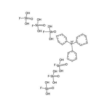 [O]=[Sb]([OH])([OH])[F].[O]=[Sb]([OH])([OH])[F].[O]=[Sb]([OH])([OH])[F].[O]=[Sb]([OH])([OH])[F].[O]=[Sb]([OH])([OH])[F].[O]=[Sb]([OH])([OH])[F].c1ccc([PH+](c2ccccc2)c2ccccc2)cc1